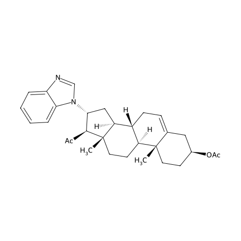 CC(=O)O[C@H]1CC[C@@]2(C)C(=CC[C@H]3[C@@H]4C[C@@H](n5cnc6ccccc65)[C@H](C(C)=O)[C@@]4(C)CC[C@@H]32)C1